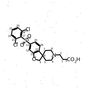 O=C(O)CCN1CCC2(CC1)COc1cc(S(=O)(=O)c3c(Cl)cccc3Cl)ccc12